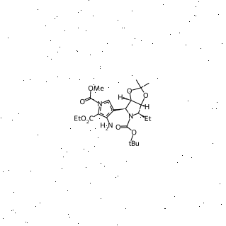 CCOC(=O)c1c(N)c([C@H]2[C@@H]3OC(C)(C)O[C@@H]3[C@@H](CC)N2C(=O)OC(C)(C)C)cn1C(=O)OC